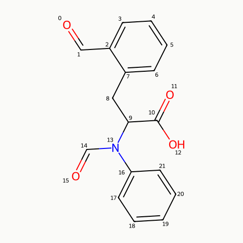 O=Cc1ccccc1CC(C(=O)O)N(C=O)c1ccccc1